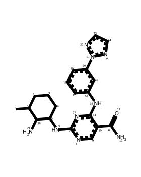 CC1CCCC(Nc2ncc(C(N)=O)c(Nc3cccc(-n4nccn4)c3)n2)C1N